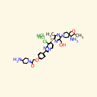 Cc1nc(N2CCC3(CC2)CO[C@@H](C)[C@H]3N)c(CO)nc1Sc1ccn2cc(-c3ccc(OCC(=O)N4CCC(N)CC4)cc3)nc2c1Cl.Cl.Cl